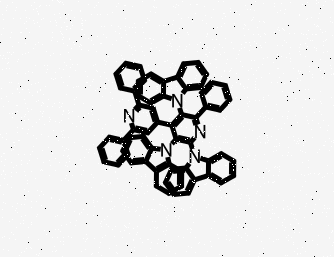 C1=Cc2c(c3ccccc3n2-c2c(-n3c4ccccc4c4ccccc43)nc(-c3ccccc3)c(-n3c4ccccc4c4ccccc43)c2-c2cc(-c3ccccc3)nc(-c3ccccc3)c2)CC1